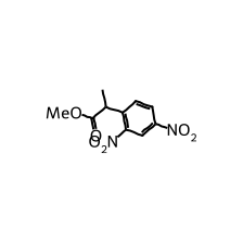 COC(=O)C(C)c1ccc([N+](=O)[O-])cc1[N+](=O)[O-]